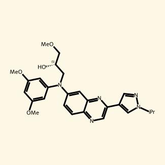 COC[C@@H](O)CN(c1cc(OC)cc(OC)c1)c1ccc2ncc(-c3cnn(C(C)C)c3)nc2c1